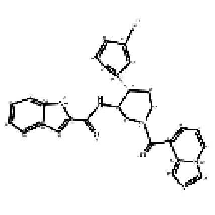 O=C(N[C@@H]1CN(C(=O)c2cccn3cncc23)CC[C@H]1c1cccc(F)c1)c1cc2ccccc2[nH]1